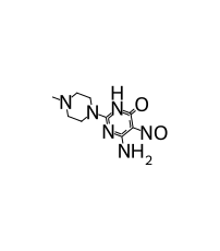 CN1CCN(c2nc(N)c(N=O)c(=O)[nH]2)CC1